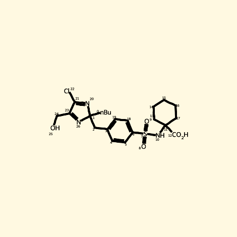 CCCCC1(Cc2ccc(S(=O)(=O)NC3(C(=O)O)CCCCC3)cc2)N=C(Cl)C(CO)=N1